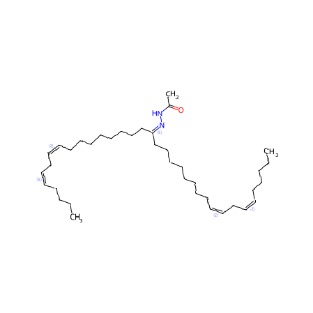 CCCC/C=C\C/C=C\CCCCCCCC/C(CCCCCCCC/C=C\C/C=C\CCCCC)=N\NC(C)=O